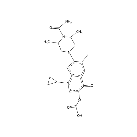 CC1CN(c2cc3c(cc2F)c(=O)c(OC(=O)O)cn3C2CC2)CC(C)N1C(N)=O